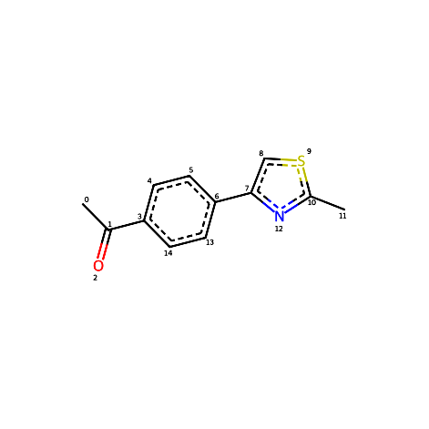 CC(=O)c1ccc(-c2csc(C)n2)cc1